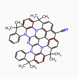 CC1(C)c2ccccc2N(c2nc(N3c4ccccc4C(C)(C)c4ccccc43)c(N3c4ccccc4C(C)(C)c4ccccc43)c(-c3ccc(C#N)cc3)c2N2c3ccccc3C(C)(C)c3ccccc32)c2ccccc21